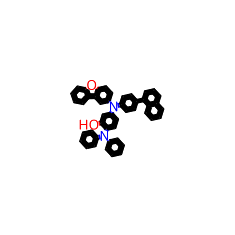 Oc1cc(N(c2ccc(-c3cccc4ccccc34)cc2)c2ccc3oc4ccccc4c3c2)ccc1N(c1ccccc1)c1ccccc1